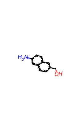 Nc1ccc2cc(CO)ccc2c1